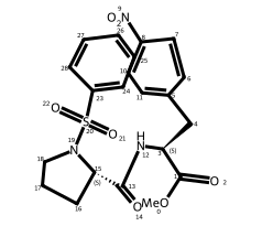 COC(=O)[C@H](Cc1ccc([N+](=O)[O-])cc1)NC(=O)[C@@H]1CCCN1S(=O)(=O)c1ccccc1